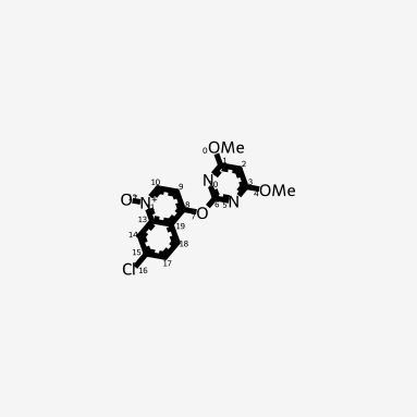 COc1cc(OC)nc(Oc2cc[n+]([O-])c3cc(Cl)ccc23)n1